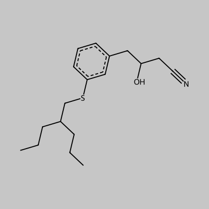 CCCC(CCC)CSc1cccc(CC(O)CC#N)c1